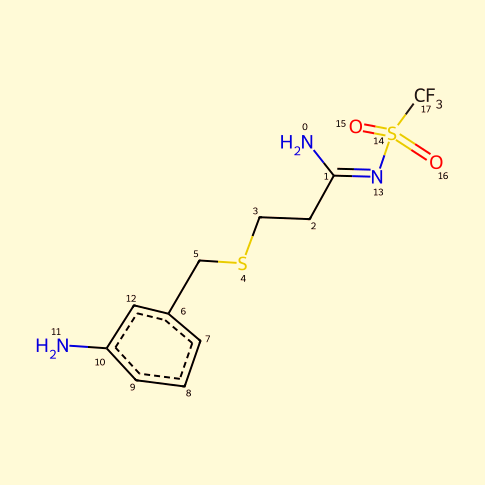 N/C(CCSCc1cccc(N)c1)=N\S(=O)(=O)C(F)(F)F